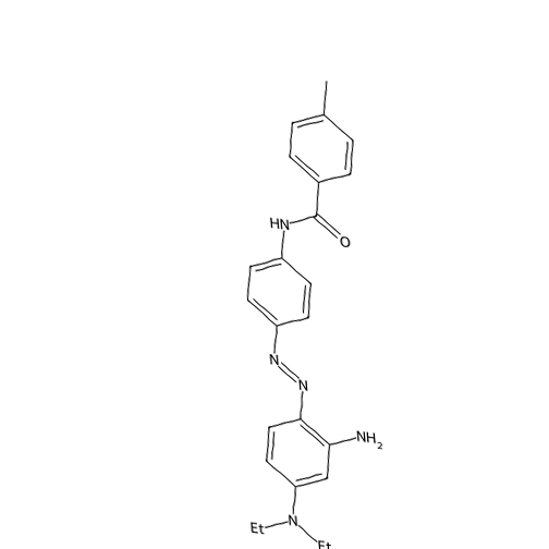 CCN(CC)c1ccc(/N=N/c2ccc(NC(=O)c3ccc(C)cc3)cc2)c(N)c1